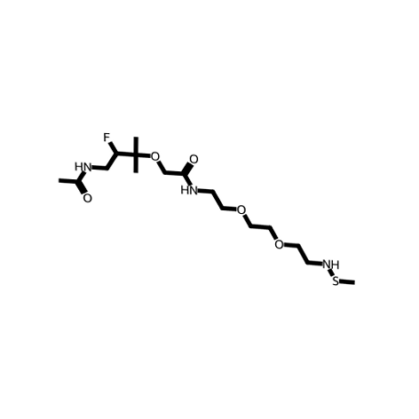 CSNCCOCCOCCNC(=O)COC(C)(C)C(F)CNC(C)=O